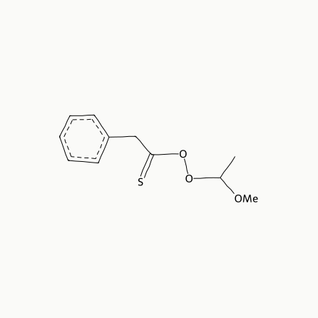 COC(C)OOC(=S)Cc1ccccc1